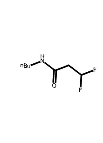 CCCCNC(=O)CC(F)F